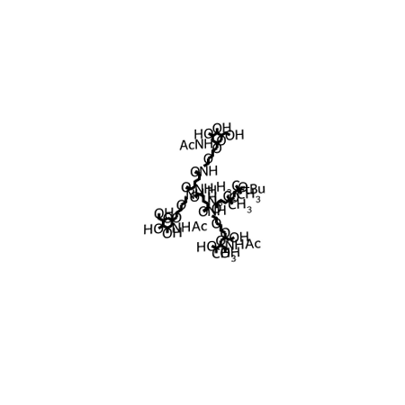 CC(=O)NC(O)C(OCCOCCNC(=O)C(CCC(=O)NC(CCC(=O)NCCOCCOC1OC(CO)C(O)C(O)C1NC(C)=O)C(=O)NCCOCCOC1OC(CO)C(O)C(O)C1NC(C)=O)NC(=O)CCC(C)(C)OCC(C)(C)OC(C)(C)C)OC(CO)C(C)O